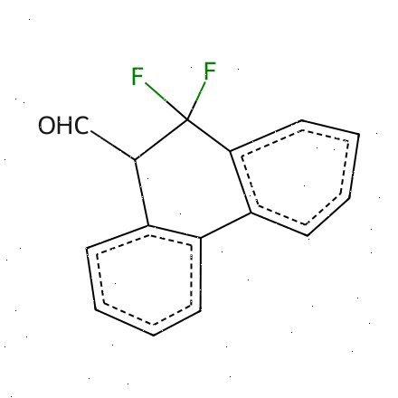 O=CC1c2ccccc2-c2ccccc2C1(F)F